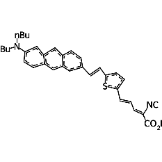 [C-]#[N+]/C(=C\C=C\c1ccc(/C=C/c2ccc3cc4cc(N(CCCC)CCCC)ccc4cc3c2)s1)C(=O)O